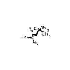 CCCCN(CCCC)CCC(C)(C)N